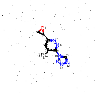 Cc1cc([C@H]2CO2)nnc1-n1cnnn1